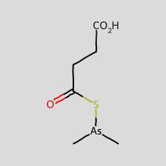 C[As](C)SC(=O)CCC(=O)O